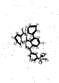 CC(Nc1nnc(-c2cncc(S(C)(=O)=O)c2)c2cccc(-c3ccccc3)c12)c1ccccn1